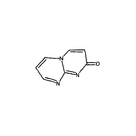 O=c1ccn2cccnc2n1